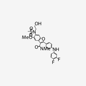 CNC(=O)c1c(-c2ccc(Nc3ccc(F)c(F)c3)cc2)oc2cc(N(CCO)S(C)(=O)=O)c(OC)cc12